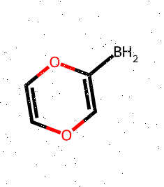 BC1=COC=CO1